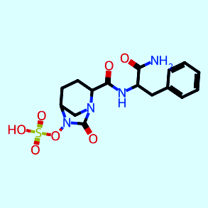 NC(=O)C(Cc1ccccc1)NC(=O)C1CCC2CN1C(=O)N2OS(=O)(=O)O